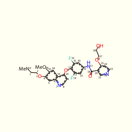 CNCCOc1cc2nccc(Oc3c(F)cc(NC(=O)c4cnccc4OCCO)cc3F)c2cc1OC